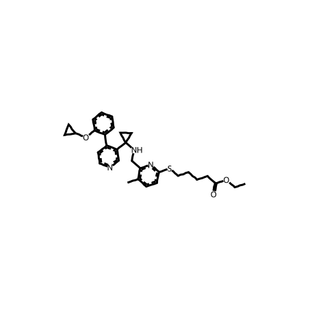 CCOC(=O)CCCCSc1ccc(C)c(CNC2(c3cnccc3-c3ccccc3OC3CC3)CC2)n1